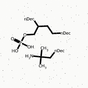 CCCCCCCCCCCC(C)(C)N.CCCCCCCCCCCCC(CCCCCCCCCC)COP(=O)(O)O